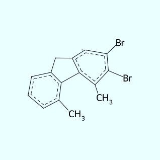 Cc1cccc2c1-c1c([c]c(Br)c(Br)c1C)C2